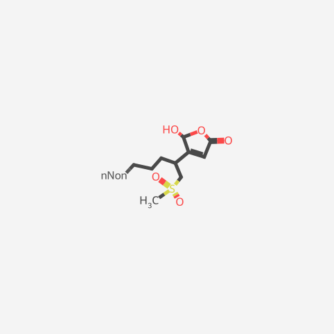 CCCCCCCCCCCCC(CS(C)(=O)=O)C1=CC(=O)OC1O